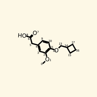 COc1cc(CC(=O)O)ccc1OCC1CCC1